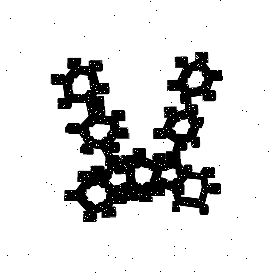 C1=Cc2c(n(-c3ccc(-c4ccccc4)cc3)c3cc4c(cc23)c2ccccc2n4-c2ccc(-c3ccccc3)cc2)CC1